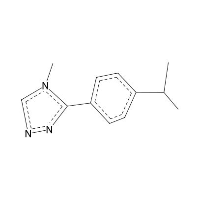 CC(C)c1ccc(-c2nncn2C)cc1